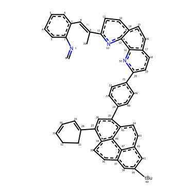 C=Nc1ccccc1/C=C(\C)c1ccc2ccc3ccc(-c4ccc(-c5cc(C6=CC=CCC6)c6ccc7cc(C(C)(C)C)cc8ccc5c6c78)cc4)nc3c2n1